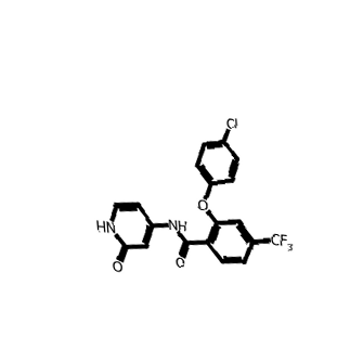 O=C(Nc1cc[nH]c(=O)c1)c1ccc(C(F)(F)F)cc1Oc1ccc(Cl)cc1